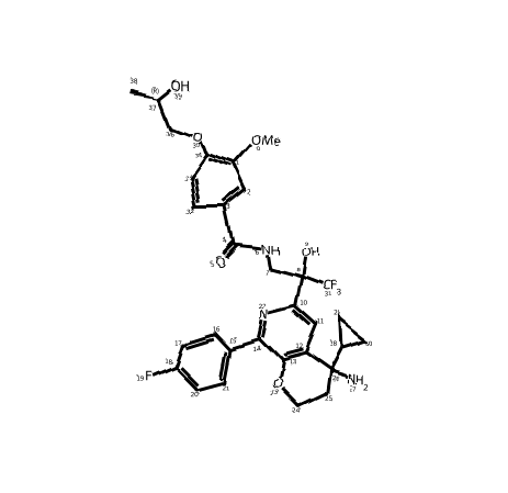 COc1cc(C(=O)NCC(O)(c2cc3c(c(-c4ccc(F)cc4)n2)OCCC3(N)C2CC2)C(F)(F)F)ccc1OC[C@@H](C)O